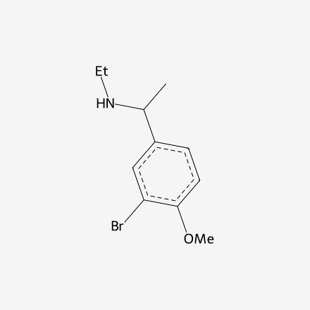 CCNC(C)c1ccc(OC)c(Br)c1